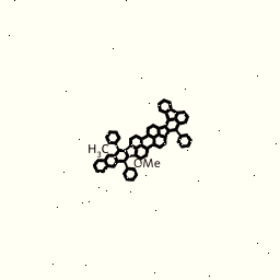 COc1ccccc1-c1c2c(c(-c3ccccc3C)c3cc4ccccc4cc13)-c1ccc3c4ccc5c6c(ccc(c7ccc-2c1c73)c46)c1c(-c2ccccc2)c2cccc3c4ccccc4c(c23)c51